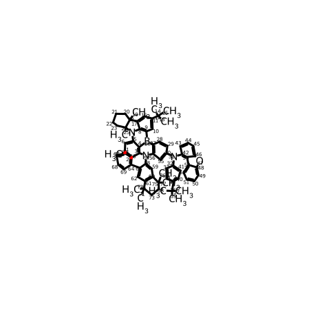 Cc1cc2c3c(c1)N1c4c(cc(C(C)(C)C)cc4C4(C)CCCCC14C)B3c1ccc(N(c3ccc(C(C)(C)C)cc3)c3cccc4oc5ccccc5c34)cc1N2c1cc2c(cc1-c1ccccc1)C(C)(C)CCC2(C)C